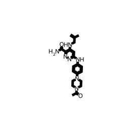 C=C(C)CNc1cc(Nc2ccc(N3CCN(C(C)=O)CC3)cc2)nnc1C(N)=O